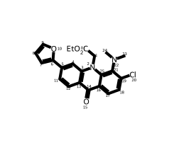 CCOC(=O)Cn1c2cc(-c3ccco3)ccc2c(=O)c2ccc(Cl)c(N(C)C)c21